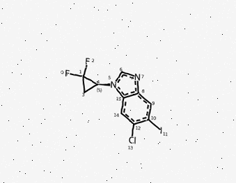 FC1(F)C[C@@H]1n1cnc2cc(I)c(Cl)cc21